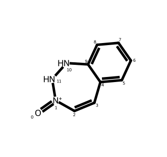 O=[N+]1C=Cc2ccccc2NN1